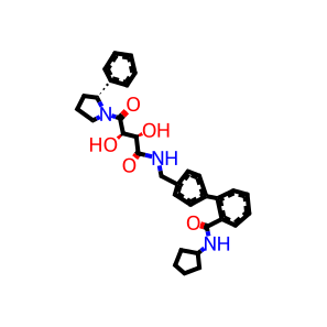 O=C(NC1CCCC1)c1ccccc1-c1ccc(CNC(=O)[C@H](O)[C@@H](O)C(=O)N2CCC[C@@H]2c2ccccc2)cc1